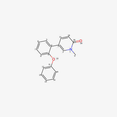 Cn1cc(-c2c[c]ccc2Oc2ccccc2)ccc1=O